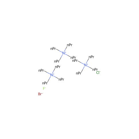 CCC[N+](CCC)(CCC)CCC.CCC[N+](CCC)(CCC)CCC.CCC[N+](CCC)(CCC)CCC.[Br-].[Cl-].[F-]